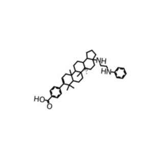 CC1(C)C(c2ccc(C(=O)O)cc2)=CCC2(C)C1CCC1(C)C2CCC2C3CCCC3(NCCNc3ccccc3)CC[C@]21C